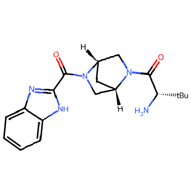 CC(C)(C)[C@H](N)C(=O)N1C[C@@H]2C[C@H]1CN2C(=O)c1nc2ccccc2[nH]1